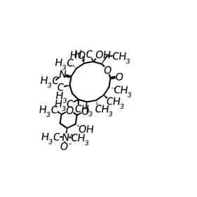 CC[C@H]1OC(=O)[C@H](C)[C@@H](C)[C@H](C)[C@@H](OC2O[C@H](C)C[C@H]([N+](C)(C)[O-])[C@H]2O)C(C)(C)C[C@@H](C)/C(=N\C)[C@H](C)[C@@H](O)[C@]1(C)O